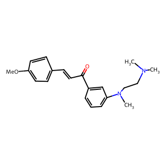 COc1ccc(C=CC(=O)c2cccc(N(C)CCN(C)C)c2)cc1